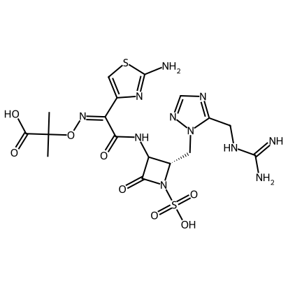 CC(C)(O/N=C(\C(=O)NC1C(=O)N(S(=O)(=O)O)[C@H]1Cn1ncnc1CNC(=N)N)c1csc(N)n1)C(=O)O